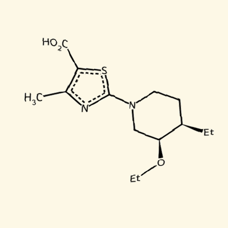 CCO[C@H]1CN(c2nc(C)c(C(=O)O)s2)CC[C@H]1CC